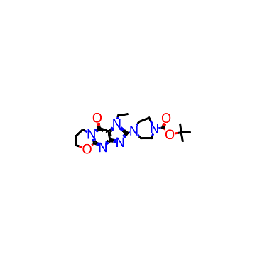 CCn1c(N2CCN(C(=O)OC(C)(C)C)CC2)nc2nc3n(c(=O)c21)CCCO3